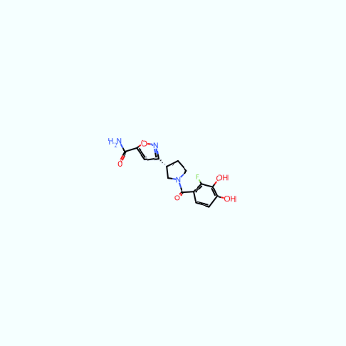 NC(=O)c1cc([C@@H]2CCN(C(=O)c3ccc(O)c(O)c3F)C2)no1